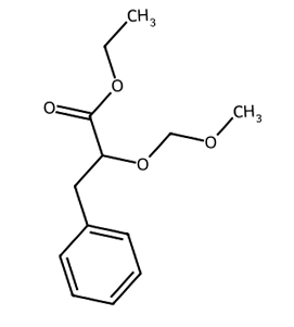 CCOC(=O)C(Cc1ccccc1)OCOC